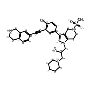 CS(=O)(=O)N1CCc2c(c(-c3ccc(Cl)c(C#Cc4ccc5c(c4)CNCC5)c3)nn2CC(O)CN2CCCCC2)C1